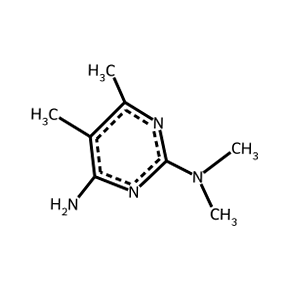 Cc1nc(N(C)C)nc(N)c1C